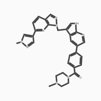 CN1CCN(C(=O)c2ccc(-c3cnc4[nH]cc(Cn5ncc6ccc(-c7cnn(C)c7)nc65)c4c3)cc2)CC1